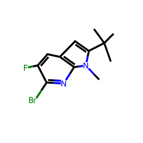 Cn1c(C(C)(C)C)cc2cc(F)c(Br)nc21